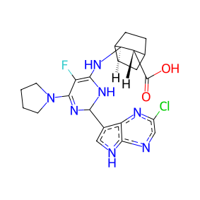 O=C(O)[C@H]1C2CCC(CC2)[C@@H]1NC1=C(F)C(N2CCCC2)=NC(c2c[nH]c3ncc(Cl)nc23)N1